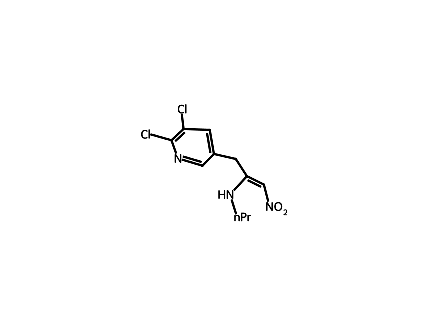 CCCNC(=C[N+](=O)[O-])Cc1cnc(Cl)c(Cl)c1